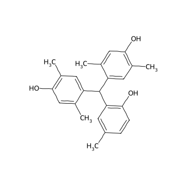 Cc1ccc(O)c(C(c2cc(C)c(O)cc2C)c2cc(C)c(O)cc2C)c1